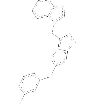 Fc1cccc(Nc2nn3c(Cn4ccc5ncccc54)nnc3s2)c1